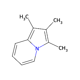 Cc1c(C)c2ccccn2c1C